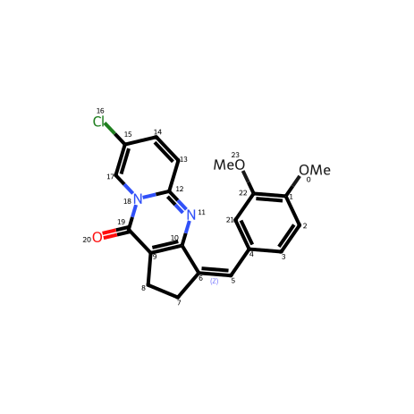 COc1ccc(/C=C2/CCc3c2nc2ccc(Cl)cn2c3=O)cc1OC